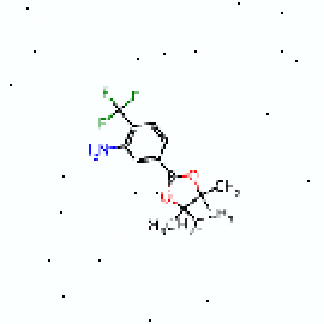 CC1(C)OB(c2ccc(C(F)(F)F)c(N)c2)OC1(C)C